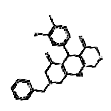 O=C1COCC2=C1C(c1ccc(F)c(Br)c1)C1=C(CN(Cc3ccccc3)CC1=O)N2